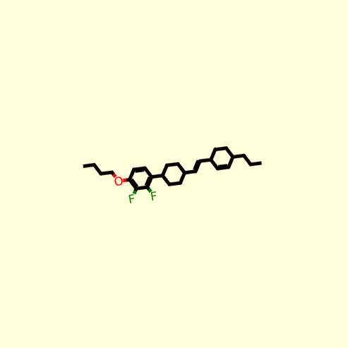 CCCCOc1ccc(C2CCC(/C=C/C3C=CC(CCC)CC3)CC2)c(F)c1F